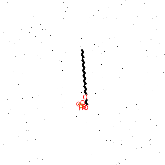 CCCCCCCCCCCCCCCCCCOCC(CO)OS(C)(=O)=O